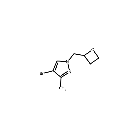 Cc1nn(CC2CCO2)cc1Br